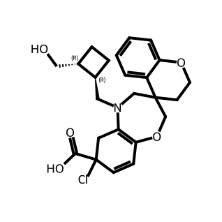 O=C(O)C1(Cl)C=CC2=C(C1)N(C[C@@H]1CC[C@H]1CO)CC1(CCOc3ccccc31)CO2